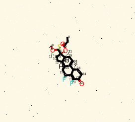 CCC(=O)O[C@]1(C(=S)OC)[C@@H](C)C[C@H]2[C@@H]3C[C@H](F)C4=C(F)C(=O)C=C[C@]4(C)C3=CC[C@@]21C